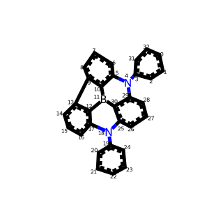 c1ccc(N2c3cccc4c3B3c5c-4cccc5N(c4ccccc4)c4cccc2c43)cc1